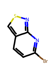 Brc1ccc2csnc2n1